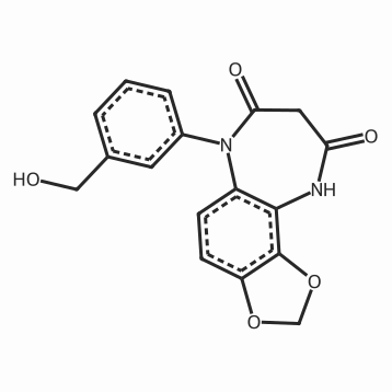 O=C1CC(=O)N(c2cccc(CO)c2)c2ccc3c(c2N1)OCO3